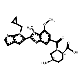 COc1cc(C(=O)N2C[C@H](N)CC[C@@H]2C(=O)O)cc2nc(-c3cc4ccsc4n3CC3CC3)n(C)c12